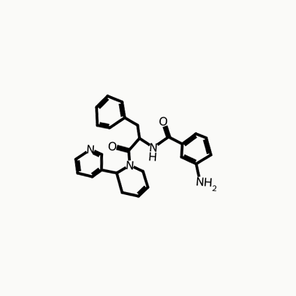 Nc1cccc(C(=O)NC(Cc2ccccc2)C(=O)N2CC=CCC2c2cccnc2)c1